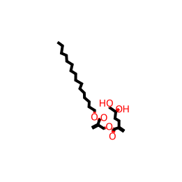 C=C(CCC(O)CO)C(=O)OCC(=C)C(=O)OCCCCCCCCCCCCCCCC